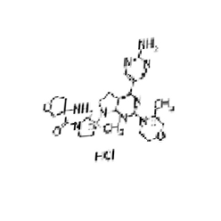 C[C@H]1COCCN1c1nc(-c2cnc(N)nc2)c2c(n1)N([C@@]1(C)CCN(C(=O)C3(N)CCOC3)C1)CC2.Cl